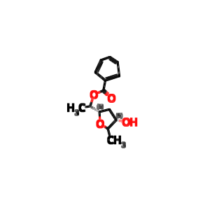 CC(OC(=O)c1ccccc1)[C@@H]1C[C@H](O)C(C)O1